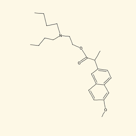 CCCCN(CCCC)CCOC(=O)C(C)c1ccc2cc(OC)ccc2c1